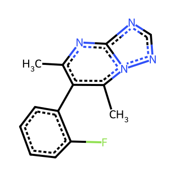 Cc1nc2ncnn2c(C)c1-c1ccccc1F